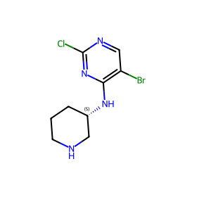 Clc1ncc(Br)c(N[C@H]2CCCNC2)n1